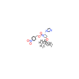 CC(C)(C)[Si](C)(C)O[C@@H]1C[C@@H](Cn2ccnc2)N(C(=O)OCc2ccc([N+](=O)[O-])cc2)C1